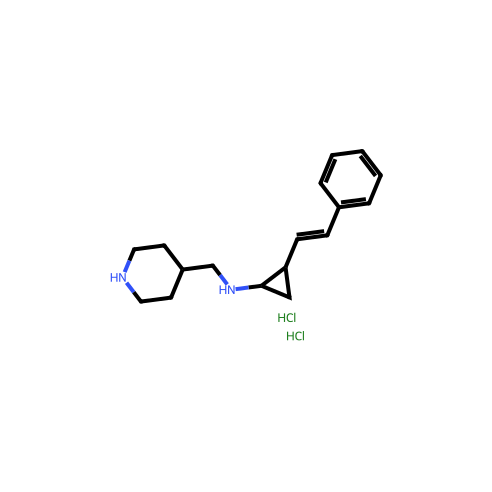 C(=CC1CC1NCC1CCNCC1)c1ccccc1.Cl.Cl